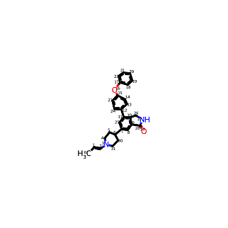 CC=CN1CCC(c2cc3c(c(-c4ccc(Oc5ccccc5)cc4)c2)CNC3=O)CC1